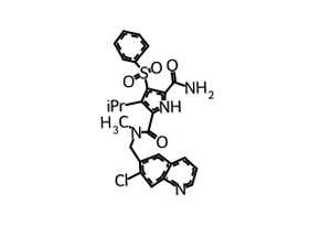 CC(C)c1c(C(=O)N(C)Cc2cc3cccnc3cc2Cl)[nH]c(C(N)=O)c1S(=O)(=O)c1ccccc1